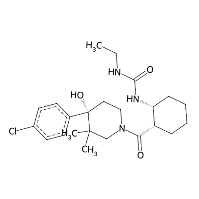 CCNC(=O)N[C@@H]1CCCC[C@@H]1C(=O)N1CC[C@](O)(c2ccc(Cl)cc2)C(C)(C)C1